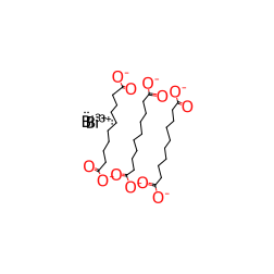 O=C([O-])CCCCCCCCC(=O)[O-].O=C([O-])CCCCCCCCC(=O)[O-].O=C([O-])CCCCCCCCC(=O)[O-].[Bi+3].[Bi+3]